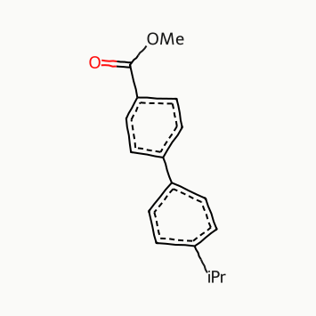 COC(=O)c1ccc(-c2ccc(C(C)C)cc2)cc1